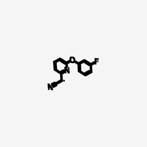 N#C[CH]c1cccc(Oc2cccc(F)c2)n1